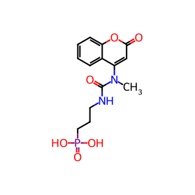 CN(C(=O)NCCCP(=O)(O)O)c1cc(=O)oc2ccccc12